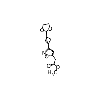 COC(=O)Cc1cc(C23CC(C4OCCO4)(C2)C3)no1